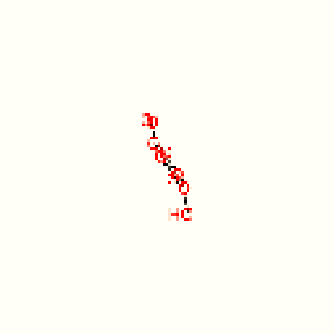 C=CC(=O)OCCCCCCOc1ccc(C(=O)Oc2ccc(-c3ccc(OC(=O)c4ccc(OCCCCCCCCO)cc4)cc3)cc2)cc1